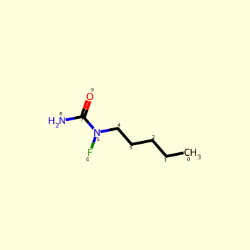 CCCCCN(F)C(N)=O